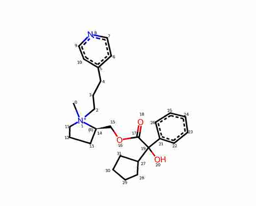 C[N+]1(CCCc2ccncc2)CCC[C@@H]1COC(=O)C(O)(c1ccccc1)C1CCCC1